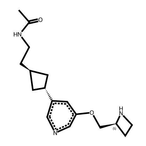 CC(=O)NCC[C@H]1C[C@H](c2cncc(OC[C@@H]3CCN3)c2)C1